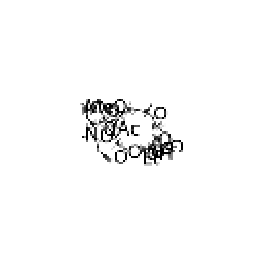 C#CCCN(C)[C@H]1C[C@@H](C)O[C@@H](O[C@@H]2[C@@H](C)C(=O)[C@@H](C)C(=O)O[C@H](CC)[C@@](C)(O)[C@H](OS(C)(=O)=O)[C@@H](C)C(=O)[C@H](C)C[C@@]2(C)OC)[C@@H]1OC(C)=O